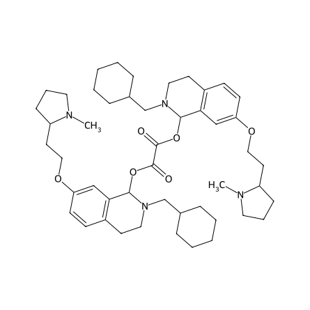 CN1CCCC1CCOc1ccc2c(c1)C(OC(=O)C(=O)OC1c3cc(OCCC4CCCN4C)ccc3CCN1CC1CCCCC1)N(CC1CCCCC1)CC2